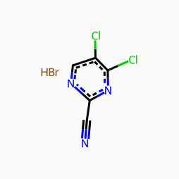 Br.N#Cc1ncc(Cl)c(Cl)n1